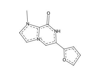 Cn1cc[n+]2cc(-c3ccco3)[nH]c(=O)c12